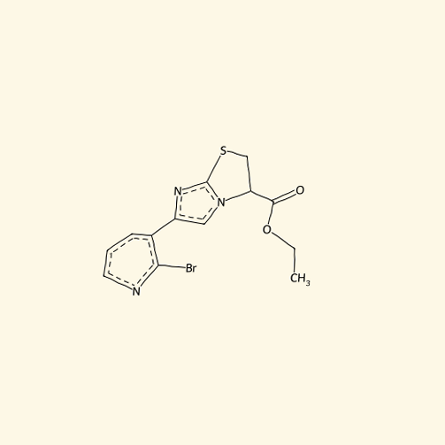 CCOC(=O)C1CSc2nc(-c3cccnc3Br)cn21